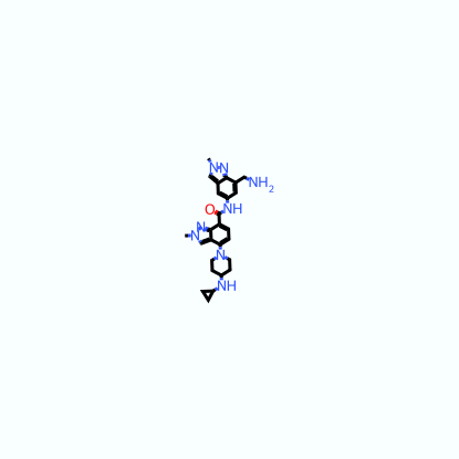 Cn1cc2cc(NC(=O)c3ccc(N4CCC(NC5CC5)CC4)c4cn(C)nc34)cc(CN)c2n1